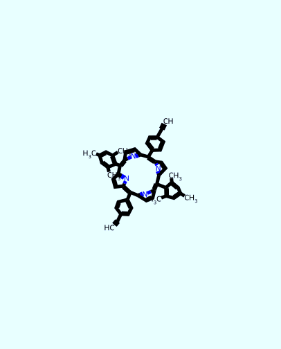 C#Cc1ccc(C2=C3C=CC(=N3)C(c3c(C)cc(C)cc3C)=C3C=CC(=N3)C(c3ccc(C#C)cc3)=C3C=CC(=N3)C(c3c(C)cc(C)cc3C)=C3C=CC2=N3)cc1